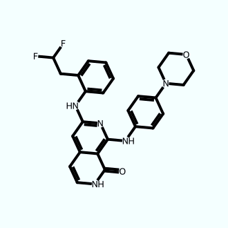 O=c1[nH]ccc2cc(Nc3ccccc3CC(F)F)nc(Nc3ccc(N4CCOCC4)cc3)c12